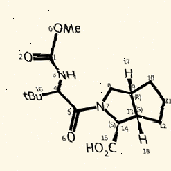 COC(=O)NC(C(=O)N1C[C@@H]2CCC[C@@H]2[C@H]1C(=O)O)C(C)(C)C